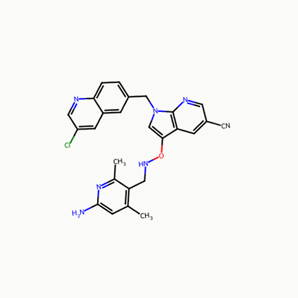 Cc1cc(N)nc(C)c1CNOc1cn(Cc2ccc3ncc(Cl)cc3c2)c2ncc(C#N)cc12